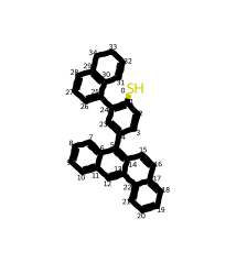 Sc1ccc(-c2c3ccccc3cc3c2ccc2ccccc23)cc1-c1cccc2c1C=CCC2